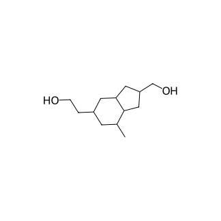 CC1CC(CCO)CC2CC(CO)CC12